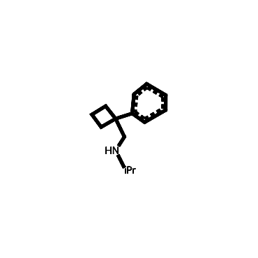 CC(C)NCC1(c2ccccc2)CCC1